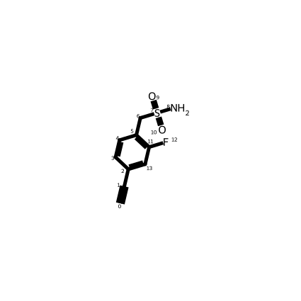 C#Cc1ccc(CS(N)(=O)=O)c(F)c1